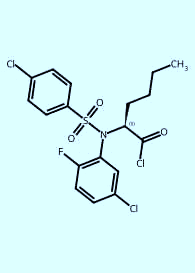 CCCC[C@@H](C(=O)Cl)N(c1cc(Cl)ccc1F)S(=O)(=O)c1ccc(Cl)cc1